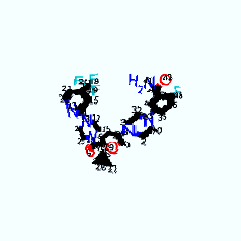 C[C@H]1CN([C@@H]2CC[C@@](C(=O)N3CCN(c4cc(C(F)(F)F)ccn4)CC3)(C3CC3)OC2)CCN1c1ccc(F)c(C(N)=O)c1